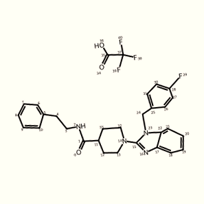 O=C(NCCc1ccccc1)C1CCN(c2nc3ccccc3n2Cc2ccc(F)cc2)CC1.O=C(O)C(F)(F)F